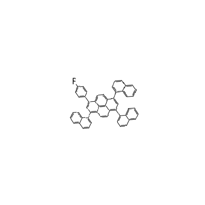 Fc1ccc(-c2cc(-c3cccc4ccccc34)c3ccc4c(-c5cccc6ccccc56)cc(-c5cccc6ccccc56)c5ccc2c3c54)cc1